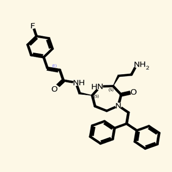 NCC[C@@H]1N[C@H](CNC(=O)/C=C/c2ccc(F)cc2)CCN(CC(c2ccccc2)c2ccccc2)C1=O